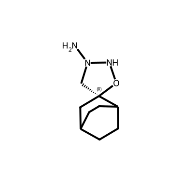 NN1C[C@]2(CC3CCC2CC3)ON1